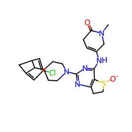 CN1CC(Nc2nc(N3CCC(C4C5=CC(Cl)=CC4C5)CC3)nc3c2[S+]([O-])CC3)=CCC1=O